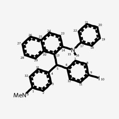 CNc1ccc(C(c2ccc(I)cc2)c2c(N(C)c3ccccc3)ccc3ccccc23)cc1